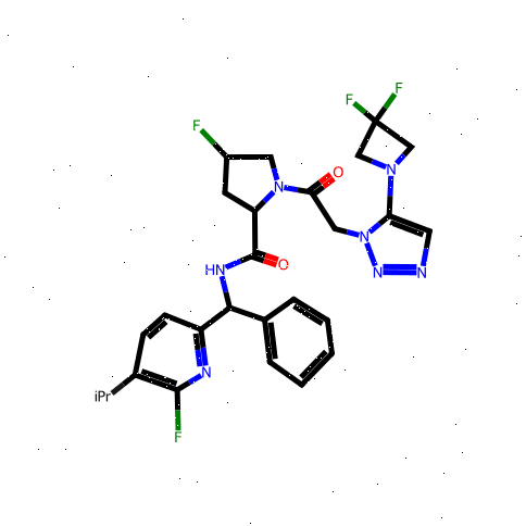 CC(C)c1ccc(C(NC(=O)C2CC(F)CN2C(=O)Cn2nncc2N2CC(F)(F)C2)c2ccccc2)nc1F